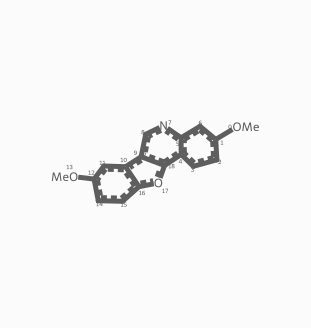 COc1ccc2c(c1)ncc1c3cc(OC)ccc3oc21